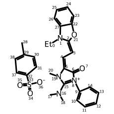 CCN1C(=CC=C2C(=O)[N+](c3ccccc3)=C(N(C)C)N2C)Oc2ccccc21.Cc1ccc(S(=O)(=O)[O-])cc1